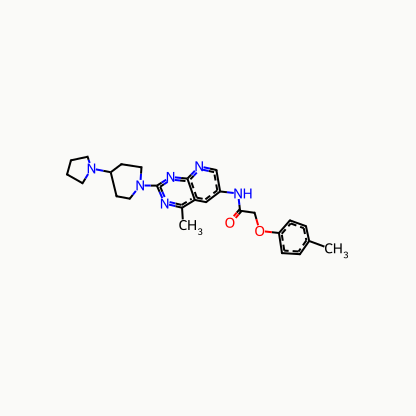 Cc1ccc(OCC(=O)Nc2cnc3nc(N4CCC(N5CCCC5)CC4)nc(C)c3c2)cc1